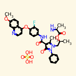 COc1ccc2c(Oc3ccc(NC(=O)c4c(C)n(C[C@H](C)OC(=O)[C@H](C)N)n(-c5ccccc5)c4=O)cc3F)ccnc2c1.O=S(=O)(O)O